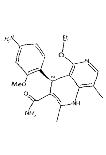 CCOc1ncc(C)c2c1[C@H](c1ccc(N)cc1OC)C(C(N)=O)=C(C)N2